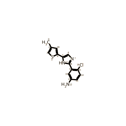 Cc1csc(-c2cnc(-c3cc(N)ccc3Cl)[nH]2)c1